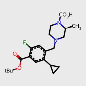 C[C@H]1CN(Cc2cc(F)c(C(=O)OC(C)(C)C)cc2C2CC2)CCN1C(=O)O